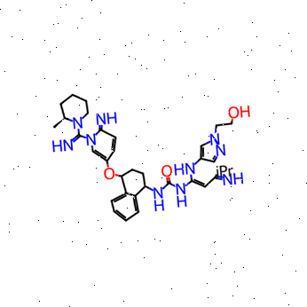 CC(C)C(=N)/C=C(/NC(=O)NC1CCC(Oc2ccc(=N)n(C(=N)N3CCCC[C@@H]3C)c2)c2ccccc21)Nc1cnn(CCO)c1